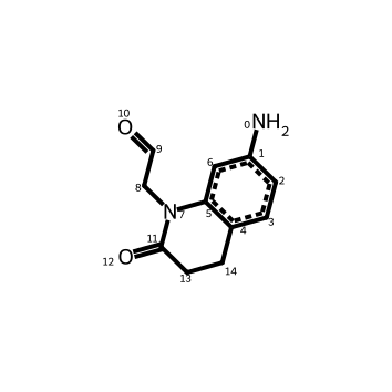 Nc1ccc2c(c1)N(CC=O)C(=O)CC2